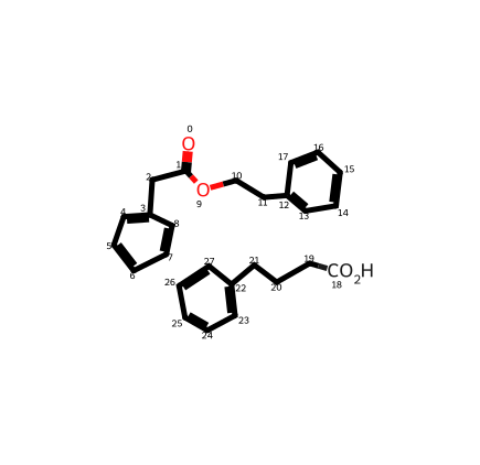 O=C(Cc1ccccc1)OCCc1ccccc1.O=C(O)CCCc1ccccc1